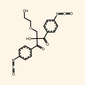 O=C=Nc1ccc(C(=O)C(O)(COCCO)C(=O)c2ccc(N=C=O)cc2)cc1